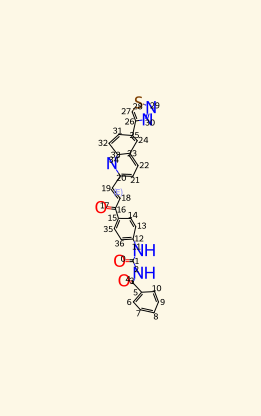 O=C(NC(=O)c1ccccc1)Nc1ccc(C(=O)/C=C/c2ccc3cc(-c4csnn4)ccc3n2)cc1